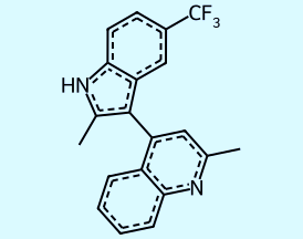 Cc1cc(-c2c(C)[nH]c3ccc(C(F)(F)F)cc23)c2ccccc2n1